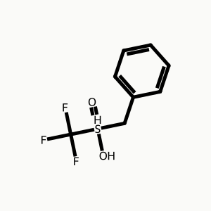 O=[SH](O)(Cc1ccccc1)C(F)(F)F